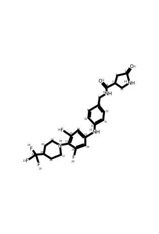 O=C1CC(C(=O)NCc2ccc(Nc3cc(F)c(N4CCC(C(F)(F)F)CC4)c(F)c3)cc2)CN1